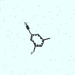 [CH2]c1cc(F)cc(C#N)c1